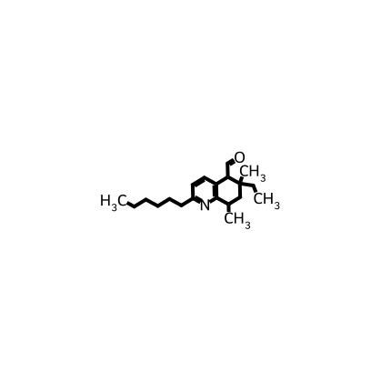 CCCCCCc1ccc2c(n1)C(C)CC(C)(CC)C2C=O